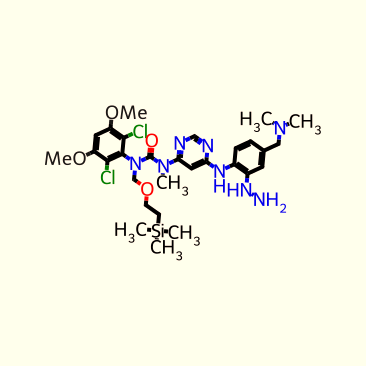 COc1cc(OC)c(Cl)c(N(COCC[Si](C)(C)C)C(=O)N(C)c2cc(Nc3ccc(CN(C)C)cc3NN)ncn2)c1Cl